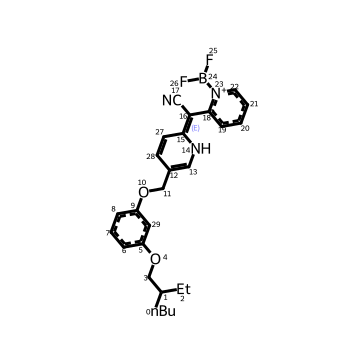 CCCCC(CC)COc1cccc(OCC2=CN/C(=C(/C#N)c3cccc[n+]3B(F)F)C=C2)c1